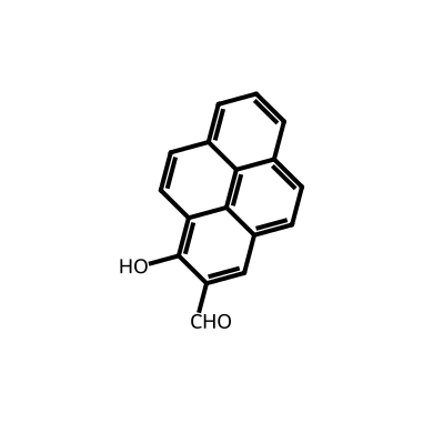 O=Cc1cc2ccc3cccc4ccc(c1O)c2c34